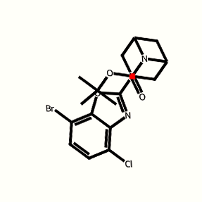 CC(C)(C)OC(=O)N1C2CC1CN(c1nc3c(Cl)ccc(Br)c3o1)C2